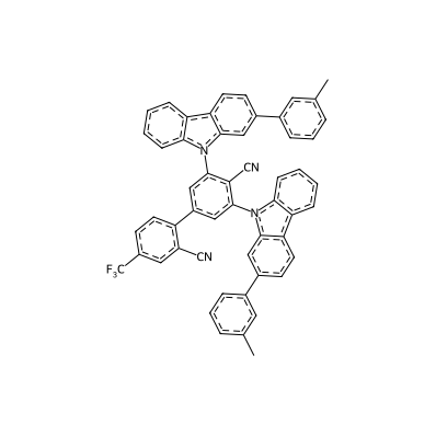 Cc1cccc(-c2ccc3c4ccccc4n(-c4cc(-c5ccc(C(F)(F)F)cc5C#N)cc(-n5c6ccccc6c6ccc(-c7cccc(C)c7)cc65)c4C#N)c3c2)c1